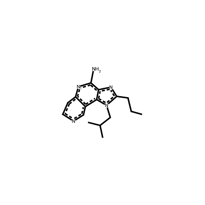 CCCc1nc2c(N)nc3ccncc3c2n1CC(C)C